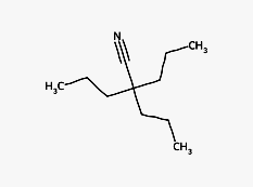 CCCC(C#N)(CCC)CCC